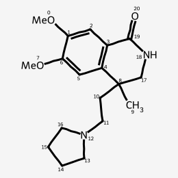 COc1cc2c(cc1OC)C(C)(CCN1CCCC1)CNC2=O